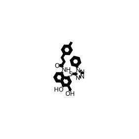 Cc1ccc(CCC(=O)Nc2cccc3c(O)c(CO)cc(Sc4nnnn4-c4ccccc4)c23)cc1